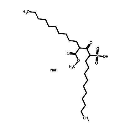 CCCCCCCCCCC(C(=O)OC)C(=O)C(CCCCCCCCCC)S(=O)(=O)O.[NaH]